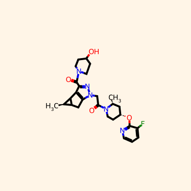 C[C@@H]1C2Cc3c(c(C(=O)N4CCC(O)CC4)nn3CC(=O)N3CC[C@@H](Oc4ncccc4F)C[C@H]3C)C21